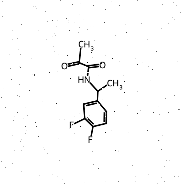 CC(=O)C(=O)NC(C)c1ccc(F)c(F)c1